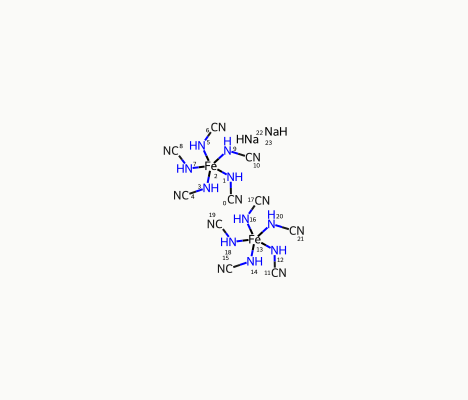 N#C[NH][Fe]([NH]C#N)([NH]C#N)([NH]C#N)[NH]C#N.N#C[NH][Fe]([NH]C#N)([NH]C#N)([NH]C#N)[NH]C#N.[NaH].[NaH]